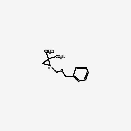 CCOC(=O)C1(C(=O)OCC)C[C@H]1COCc1ccccc1